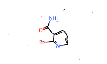 NC(=O)c1cccnc1Br